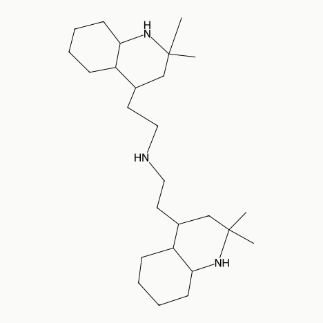 CC1(C)CC(CCNCCC2CC(C)(C)NC3CCCCC23)C2CCCCC2N1